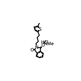 CNC.Cc1ccc(CCCCN2C(=O)c3ccccc3C2=O)s1.Cl